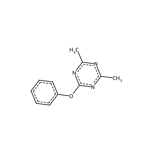 Cc1nc(C)nc(Oc2ccccc2)n1